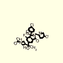 CO[C@]1(c2ccc(Cl)cc2)c2c(F)cc(C(C)(O)C3CN(C(C)=O)C3)cc2C(=O)N1Cc1ccc(Cl)cn1